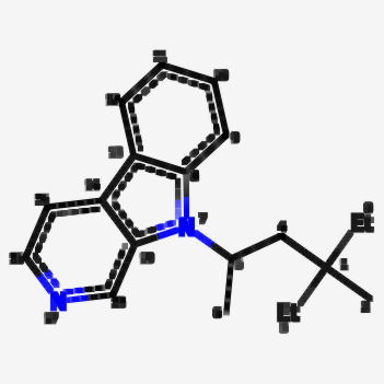 CCC(C)(CC)CC(C)n1c2ccccc2c2ccncc21